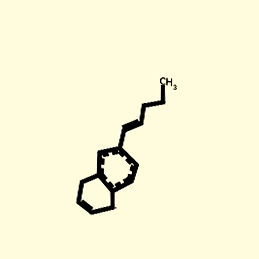 CCCC=Cc1ccc2c(c1)CC=C[CH]2